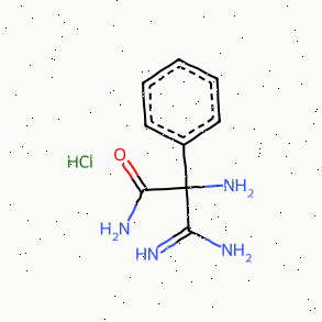 Cl.N=C(N)C(N)(C(N)=O)c1ccccc1